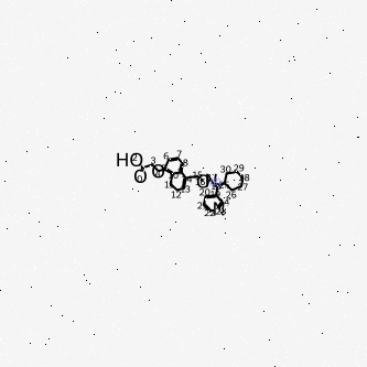 O=C(O)COc1cccc2c1CCC=C2CO/N=C(\c1cccnc1)C1CCCCC1